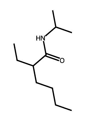 CCCCC(CC)C(=O)NC(C)C